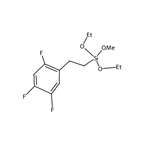 CCO[Si](CCc1cc(F)c(F)cc1F)(OC)OCC